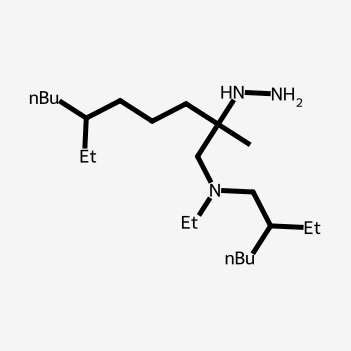 CCCCC(CC)CCCC(C)(CN(CC)CC(CC)CCCC)NN